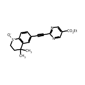 CCOC(=O)c1cnc(C#Cc2ccc3c(c2)C(C)(C)CC[S@+]3[O-])nc1